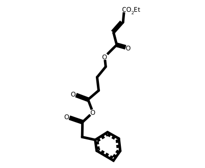 CCOC(=O)C=CC(=O)OCCCC(=O)OC(=O)Cc1ccccc1